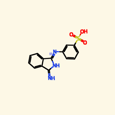 N=C1N/C(=N\c2cccc(S(=O)(=O)O)c2)c2ccccc21